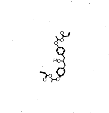 C=CC(=O)OC(C)Oc1ccc(CC(O)Cc2ccc(OC(C)OC(=O)C=C)cc2)cc1